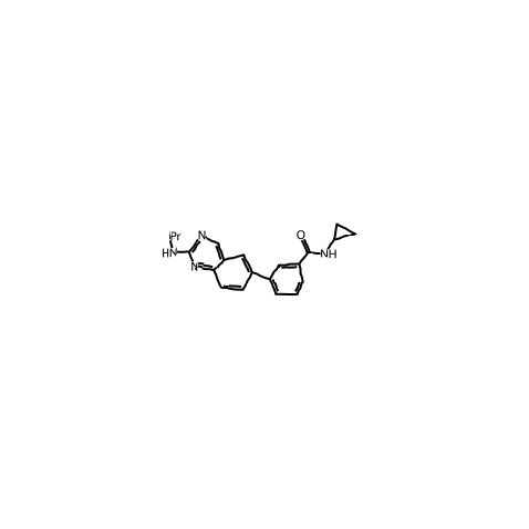 CC(C)Nc1ncc2cc(-c3cccc(C(=O)NC4CC4)c3)ccc2n1